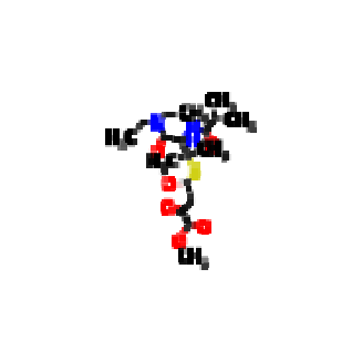 CCN(CC)C(=O)C(NC(=O)C(C)C)C(C)(C)SC(=O)CC(=O)C(=O)OC